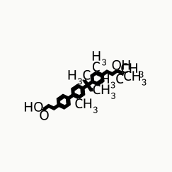 CCC(CC)(c1ccc(-c2ccc(CCC(=O)O)cc2)c(C)c1)C1C=CC(CCC(O)C(C)(C)C)=C(C)C1